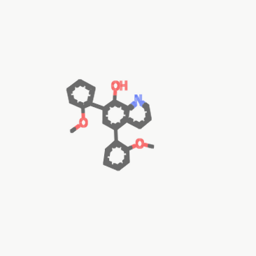 COc1ccccc1-c1cc(-c2ccccc2OC)c2cccnc2c1O